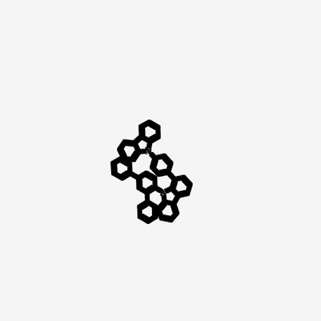 c1ccc(-c2ccc(-n3c4ccccc4c4cccc(-c5ccc(-n6c7ccccc7c7ccccc76)cc5)c43)c(-c3ccccc3)c2)cc1